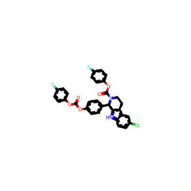 O=C(Oc1ccc(F)cc1)Oc1ccc(C2c3[nH]c4ccc(Cl)cc4c3CCN2C(=O)Oc2ccc(F)cc2)cc1